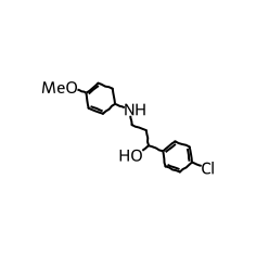 COC1=CCC(NCCC(O)c2ccc(Cl)cc2)C=C1